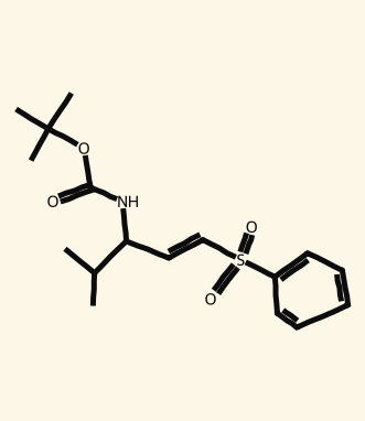 CC(C)C(C=CS(=O)(=O)c1ccccc1)NC(=O)OC(C)(C)C